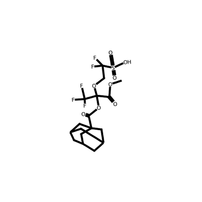 COC(=O)C(OCC(F)(F)S(=O)(=O)O)(OC(=O)C12CC3CC(CC(C3)C1)C2)C(F)(F)F